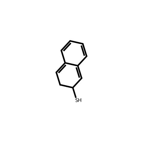 SC1C=c2ccccc2=CC1